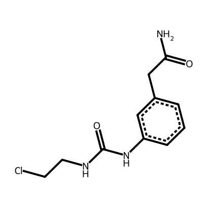 NC(=O)Cc1cccc(NC(=O)NCCCl)c1